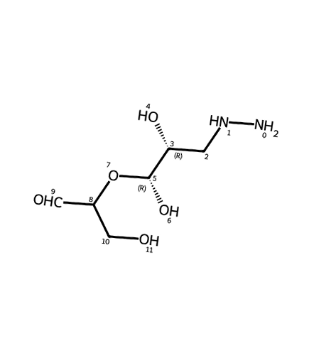 NNC[C@@H](O)[C@H](O)OC(C=O)CO